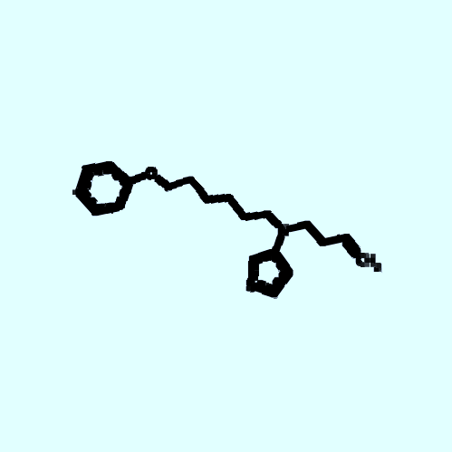 C=CCCN(CCCCCCOc1cc[c]cc1)c1ccsc1